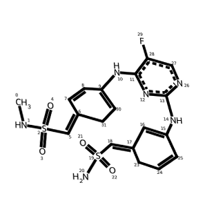 CNS(=O)(=O)C=C1C=CC(Nc2nc(NC3=CC(=CS(N)(=O)=O)CC=C3)ncc2F)=CC1